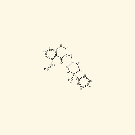 CNc1cccc2c1C(=O)C(CN1CCC(O)(c3ccccc3)CC1)CC2